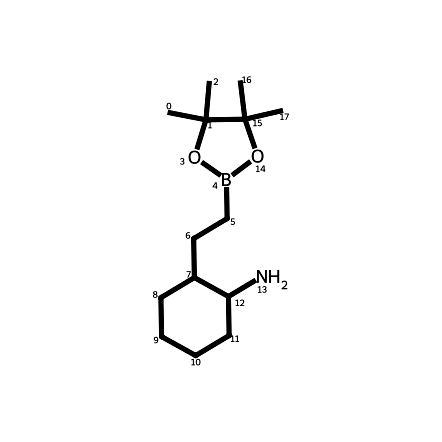 CC1(C)OB(CCC2CCCCC2N)OC1(C)C